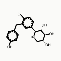 Oc1ccc(Cc2cc([C@@H]3NC[C@@H](O)[C@H](O)[C@H]3O)ccc2Cl)cc1